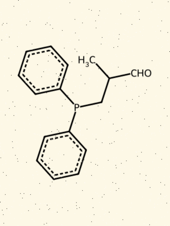 CC(C=O)CP(c1ccccc1)c1ccccc1